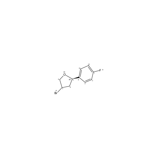 Fc1ccc([C@H]2CC(Br)CO2)cc1